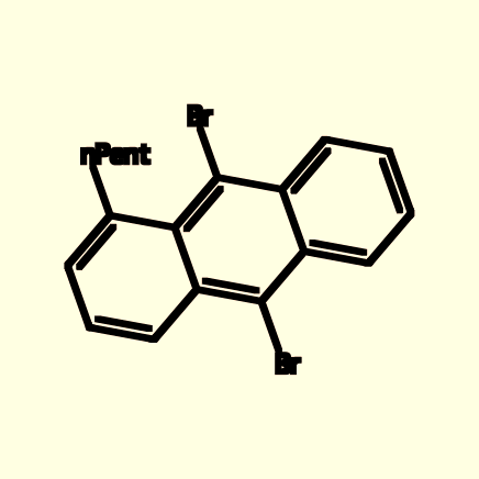 CCCCCc1cccc2c(Br)c3ccccc3c(Br)c12